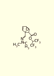 CN(C)/N=C/C12C=CC(CC1C(=O)OC(C(F)(F)F)C(F)(F)F)O2